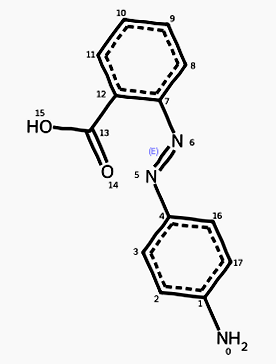 Nc1ccc(/N=N/c2ccccc2C(=O)O)cc1